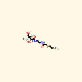 CCCSCC(=O)NCCNC(=O)[C@H](O)C(C)(C)CO